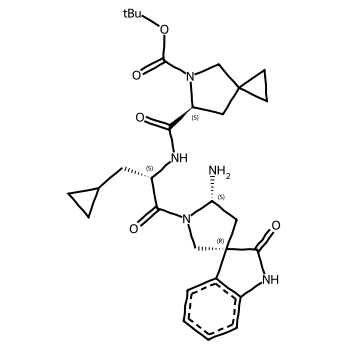 CC(C)(C)OC(=O)N1CC2(CC2)C[C@H]1C(=O)N[C@@H](CC1CC1)C(=O)N1C[C@]2(C[C@H]1N)C(=O)Nc1ccccc12